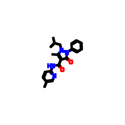 Cc1ccc(NC(=O)c2c(C)n(CC(C)C)n(-c3ccccc3)c2=O)nc1